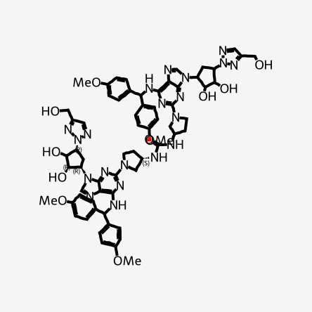 COc1ccc(C(Nc2nc(N3CCC(NC(=O)N[C@H]4CCN(c5nc(NC(c6ccc(OC)cc6)c6ccc(OC)cc6)c6ncn([C@@H]7C[C@@H](n8ncc(CO)n8)C(O)[C@@H]7O)c6n5)C4)C3)nc3c2ncn3C2CC(n3ncc(CO)n3)C(O)C2O)c2ccc(OC)cc2)cc1